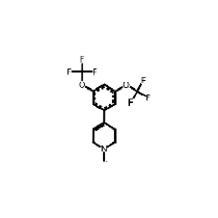 [CH2]N1CC=C(c2cc(OC(F)(F)F)cc(OC(F)(F)F)c2)CC1